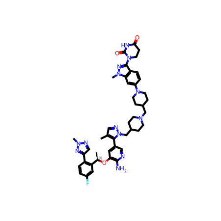 Cc1cnn(CC2CCN(CC3CCN(c4ccc5c(N6CCC(=O)NC6=O)nn(C)c5c4)CC3)CC2)c1-c1cnc(N)c(O[C@H](C)c2cc(F)ccc2-c2cnn(C)n2)c1